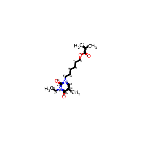 C=C(C)C(=O)OCCCCCCn1cc(C)c(=O)n(CC)c1=O